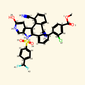 COC(=O)c1ccc(-c2cccc(-c3c(-c4c(C#N)cccc4C#N)c4cc(O)ncc4n3S(=O)(=O)c3ccc(C(F)F)cc3)c2)c(Cl)c1